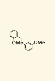 COc1cccc([CH]Cc2ccccc2OC)c1